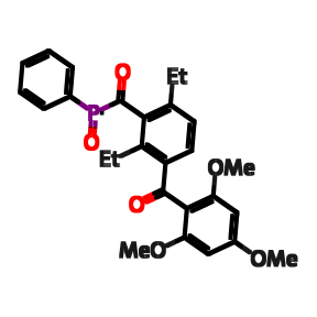 CCc1ccc(C(=O)c2c(OC)cc(OC)cc2OC)c(CC)c1C(=O)[P](=O)c1ccccc1